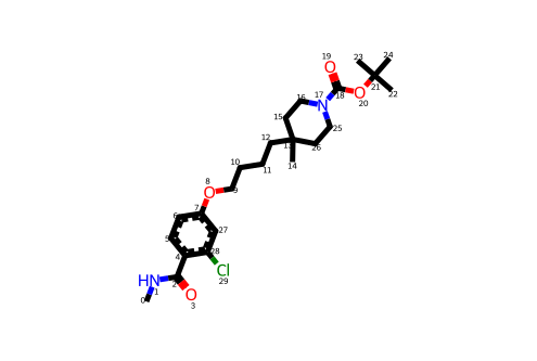 CNC(=O)c1ccc(OCCCCC2(C)CCN(C(=O)OC(C)(C)C)CC2)cc1Cl